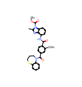 COc1cc(C(=O)N2CCCSc3ccccc32)ccc1C(=O)Nc1cccc2c1nc(C)n2C(=O)OC(C)(C)C